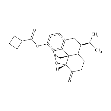 CN(C)[C@@H]1Cc2ccc(OC(=O)C3CCC3)c3c2[C@]2(CI)C1CCC(=O)[C@@H]2O3